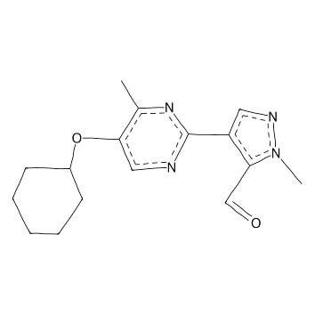 Cc1nc(-c2cnn(C)c2C=O)ncc1OC1CCCCC1